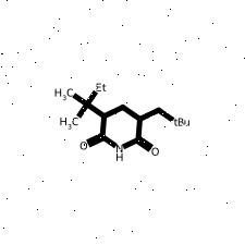 CCC(C)(C)C1CC(CC(C)(C)C)C(=O)NC1=O